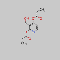 CCC(=O)Oc1ccnc(OC(=O)CC)c1CO